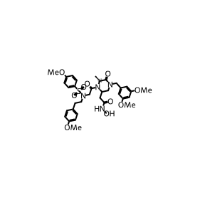 COc1ccc(CCN(CC(=O)N2C(CC(=O)NO)CN(Cc3cc(OC)cc(OC)c3)C(=O)[C@@H]2C)S(=O)(=O)c2ccc(OC)cc2)cc1